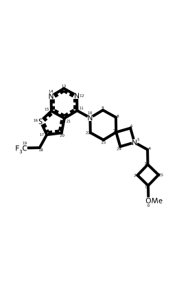 COC1CC(CN2CC3(CCN(c4ncnc5sc(CC(F)(F)F)cc45)CC3)C2)C1